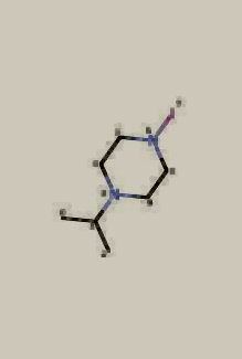 CC(C)N1CCN(I)CC1